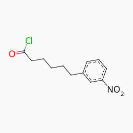 O=C(Cl)CCCCCc1cccc([N+](=O)[O-])c1